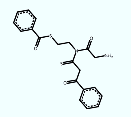 NCC(=O)N(CCSC(=O)c1ccccc1)C(=S)CC(=O)c1ccccc1